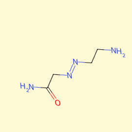 NCCN=NCC(N)=O